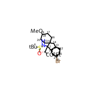 CCOC(=O)CC1(N[S+]([O-])C(C)(C)C)c2cc(Br)ccc2CC12CCC(OC)CC2